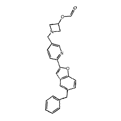 O=COC1CN(Cc2ccc(-c3cc4cc(Cc5ccccc5)ccc4o3)nc2)C1